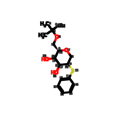 CC(C)(C)[Si](C)(C)OC[C@@H]1OC[C@H](Sc2ccccc2)[C@@H](O)[C@H]1O